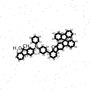 CC1(C)c2ccccc2-c2ccc(N(c3ccccc3)c3ccc(-c4cccc5c4oc4cc6c(cc45)-c4ccccc4C64c5ccccc5-c5ccccc54)cc3)cc21